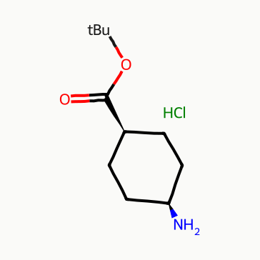 CC(C)(C)OC(=O)[C@H]1CC[C@@H](N)CC1.Cl